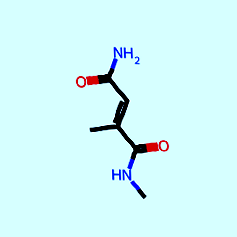 CNC(=O)/C(C)=C/C(N)=O